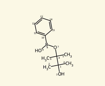 CC(C)(O)C(C)(C)OB(O)c1ccccc1